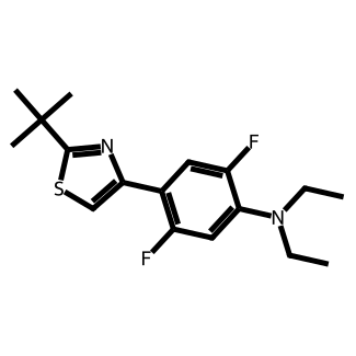 CCN(CC)c1cc(F)c(-c2csc(C(C)(C)C)n2)cc1F